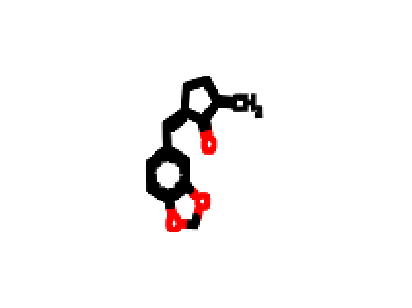 C=C1CCC(=Cc2ccc3c(c2)OCO3)C1=O